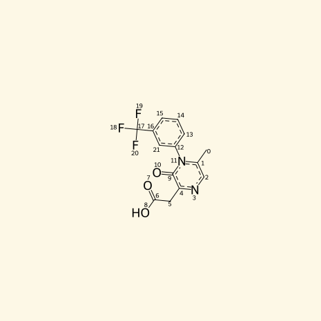 Cc1cnc(CC(=O)O)c(=O)n1-c1cccc(C(F)(F)F)c1